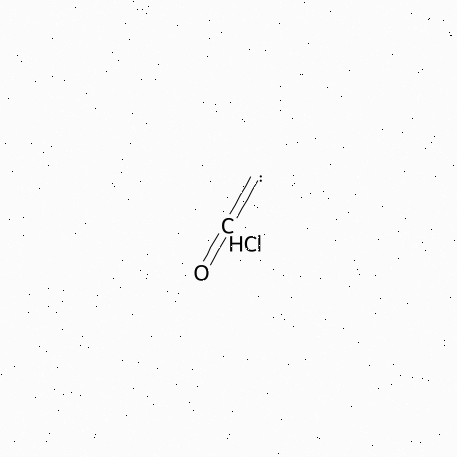 Cl.[C]=C=O